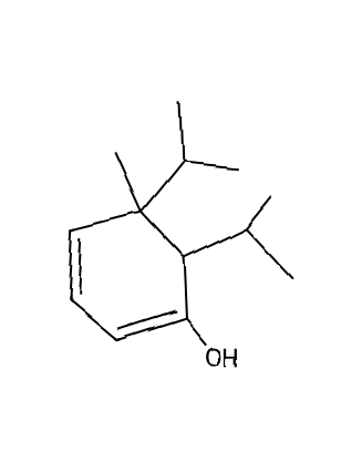 CC(C)C1C(O)=CC=CC1(C)C(C)C